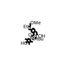 CCN(CCOC)Cc1ccc2c(c1)C(C(=O)Nc1cc(C)c(O)c(C)c1C)N(C(=O)C(C)(C)C)CC2.Cl